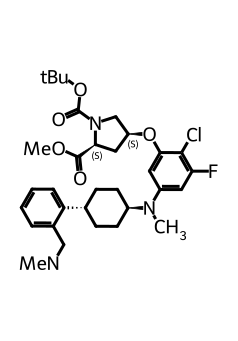 CNCc1ccccc1[C@H]1CC[C@H](N(C)c2cc(F)c(Cl)c(O[C@H]3C[C@@H](C(=O)OC)N(C(=O)OC(C)(C)C)C3)c2)CC1